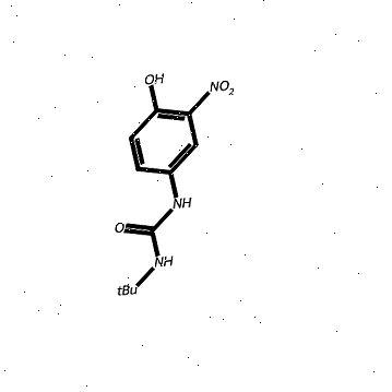 CC(C)(C)NC(=O)Nc1ccc(O)c([N+](=O)[O-])c1